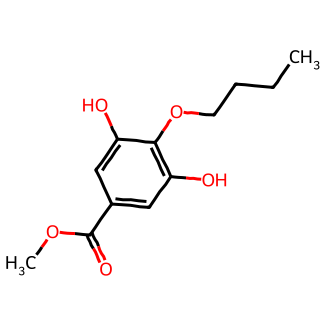 CCCCOc1c(O)cc(C(=O)OC)cc1O